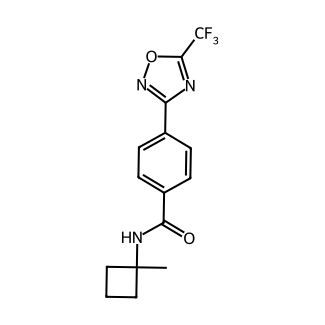 CC1(NC(=O)c2ccc(-c3noc(C(F)(F)F)n3)cc2)CCC1